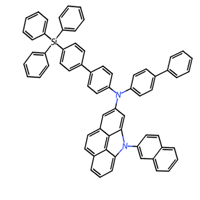 c1ccc(-c2ccc(N(c3ccc(-c4ccc([Si](c5ccccc5)(c5ccccc5)c5ccccc5)cc4)cc3)c3cc4ccc5cccc6c5c4c(c3)n6-c3ccc4ccccc4c3)cc2)cc1